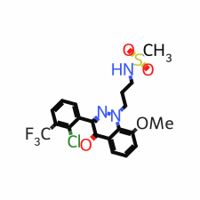 COc1cccc2c(=O)c(-c3cccc(C(F)(F)F)c3Cl)nn(CCCNS(C)(=O)=O)c12